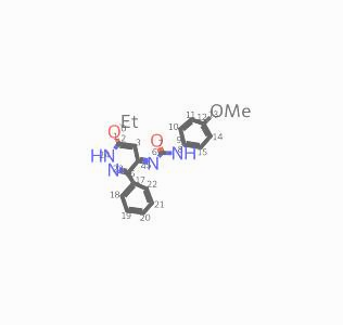 CCOc1cc(=NC(=O)Nc2ccc(OC)cc2)c(-c2ccccc2)n[nH]1